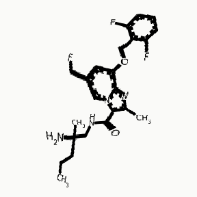 CCCC(C)(N)CNC(=O)c1c(C)nc2c(OCc3c(F)cccc3F)cc(CF)cn12